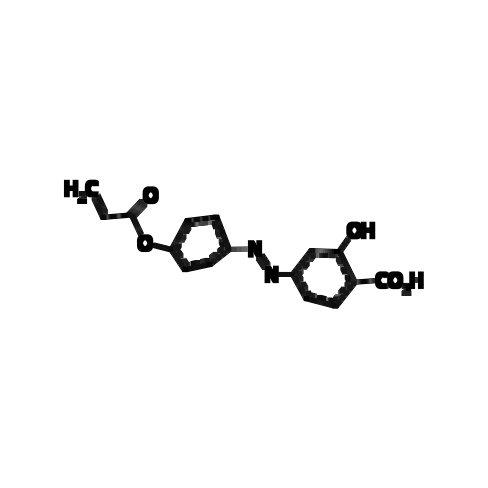 C=CC(=O)Oc1ccc(N=Nc2ccc(C(=O)O)c(O)c2)cc1